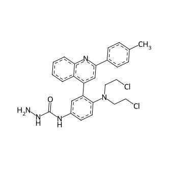 Cc1ccc(-c2cc(-c3cc(NC(=O)NN)ccc3N(CCCl)CCCl)c3ccccc3n2)cc1